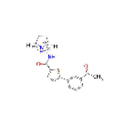 CC(=O)c1cccc(-c2ccc(C(=O)N[C@@H]3C[C@H]4CC[C@@H]3N4)s2)c1